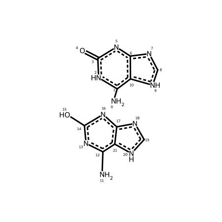 Nc1[nH]c(=O)nc2nc[nH]c12.Nc1nc(O)nc2nc[nH]c12